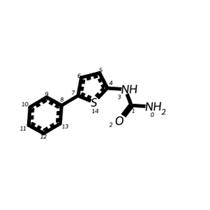 NC(=O)Nc1ccc(-c2ccccc2)s1